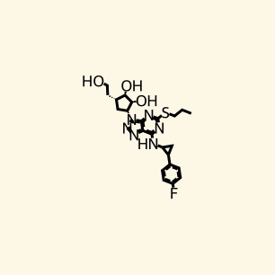 CCCSc1nc(NC2CC2c2ccc(F)cc2)c2nnn([C@@H]3C[C@H](CCO)[C@@H](O)[C@H]3O)c2n1